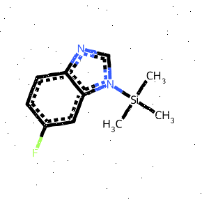 C[Si](C)(C)n1cnc2ccc(F)cc21